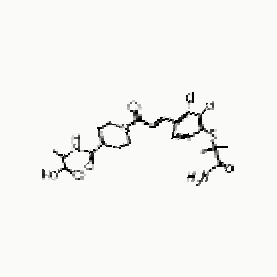 CC(NC(=O)C1CCN(C(=O)C=Cc2ccc(SC(C)(C)C(N)=O)c(Cl)c2Cl)CC1)C(=O)O